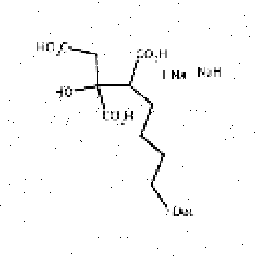 CCCCCCCCCCCCCCC(C(=O)O)C(O)(CC(=O)O)C(=O)O.[NaH].[NaH]